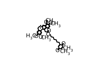 COc1cc2c(cc1OC)-c1c(CC(=O)OCCCCCCCC3=CC(=O)C(C)=C(C)C3=O)c3ccc(OC)c(OC)c3c[n+]1CC2